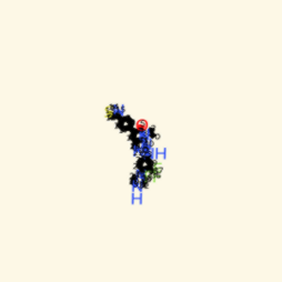 CC(C)n1c(=O)c(-c2ccc(-c3cscn3)cc2)cc2cnc(Nc3ccc(N4CCNCC4)c(C(F)(F)F)c3)nc21